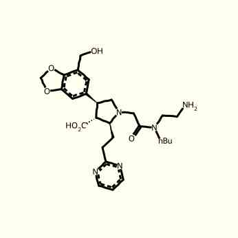 CCCCN(CCN)C(=O)CN1C[C@H](c2cc(CO)c3c(c2)OCO3)[C@@H](C(=O)O)[C@@H]1CCc1ncccn1